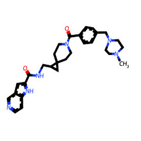 CN1CCN(Cc2ccc(C(=O)N3CCC4(CC3)CC4CNC(=O)c3cc4cnccc4[nH]3)cc2)CC1